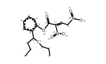 CCCCC(CCC)c1ccccc1OC(=O)/C(=C/C[N+](=O)[O-])[N+](=O)[O-]